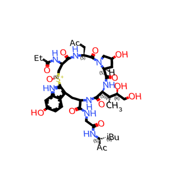 CCC(=O)NC1C[S@@+]([O-])c2[nH]c3cc(O)ccc3c2CC(C(=O)NCC(=O)N[C@H](C(C)=O)[C@@H](C)CC)NC(=O)[C@H]([C@@H](C)[C@@H](O)CO)NC(=O)[C@@H]2CC(O)CN2C(=O)[C@H](CC(C)=O)NC1=O